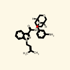 CC(C)=CCn1nc(C(=O)N[C@H]2C[C@H]3COC[C@@H](C2)N3Cc2cccc(N)c2)c2ccccc21